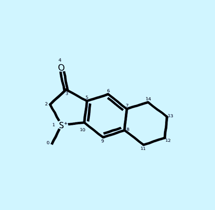 C[S+]1CC(=O)c2cc3c(cc21)CCCC3